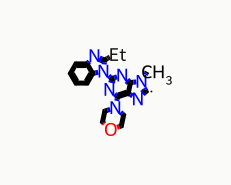 CCc1nc2ccccc2n1-c1nc(N2CCOCC2)c2n[c]n(C)c2n1